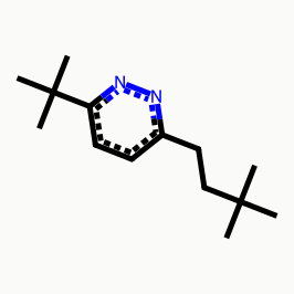 CC(C)(C)CCc1ccc(C(C)(C)C)nn1